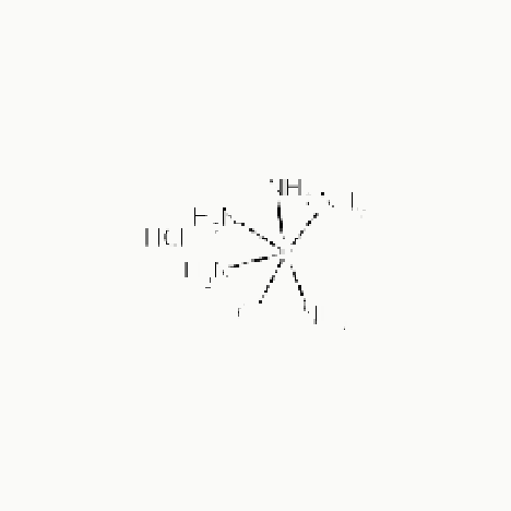 Cl.[NH2][Ir]([NH2])([NH2])([NH2])([NH2])[Cl]